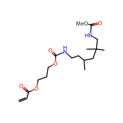 C=CC(=O)OCCCOC(=O)NCCC(C)CC(C)(C)CNC(=O)OC